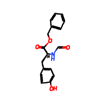 O=CN[C@@H](Cc1ccc(O)cc1)C(=O)OCc1ccccc1